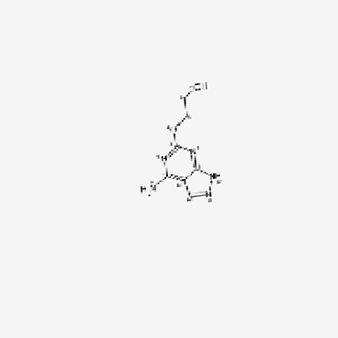 Nc1nc(OCCO)nc2[nH]ncc12